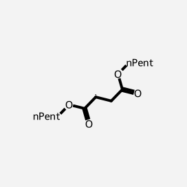 CCCCCOC(=O)[CH]CC(=O)OCCCCC